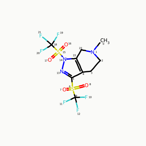 CN1CCc2c(S(=O)(=O)C(F)(F)F)nn(S(=O)(=O)C(F)(F)F)c2C1